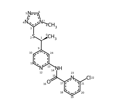 C[C@H](Sc1nncn1C)c1ccnc(NC(=O)c2cccc(Cl)n2)c1